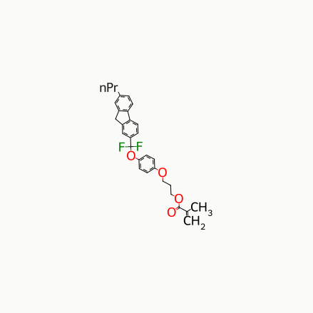 C=C(C)C(=O)OCCCOc1ccc(OC(F)(F)c2ccc3c(c2)Cc2cc(CCC)ccc2-3)cc1